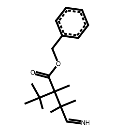 CC(C)(C)C(C)(C(=O)OCc1ccccc1)C(C)(C)C=N